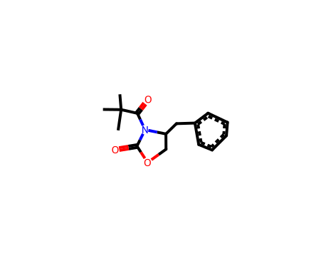 CC(C)(C)C(=O)N1C(=O)OCC1Cc1ccccc1